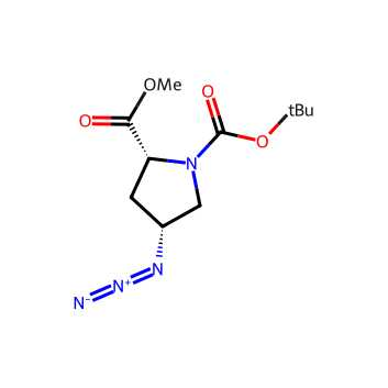 COC(=O)[C@H]1C[C@@H](N=[N+]=[N-])CN1C(=O)OC(C)(C)C